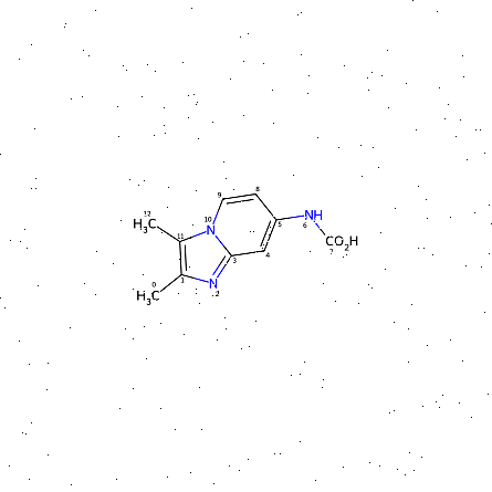 Cc1nc2cc(NC(=O)O)ccn2c1C